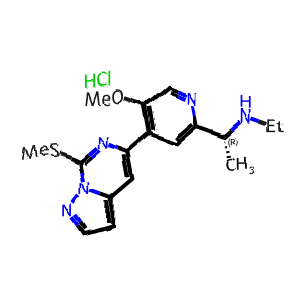 CCN[C@H](C)c1cc(-c2cc3ccnn3c(SC)n2)c(OC)cn1.Cl